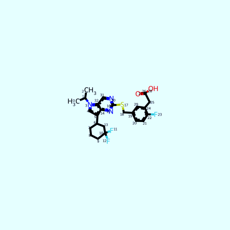 CC(C)n1cc(C2CCCC(F)(F)C2)c2nc(SCc3ccc(F)c(CC(=O)O)c3)ncc21